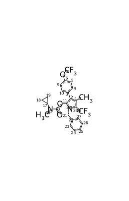 Cc1c(-c2ccc(OC(F)(F)F)cc2)c(OC(=O)N(C)C2CC2)n(Cc2ccccc2)c1C(F)(F)F